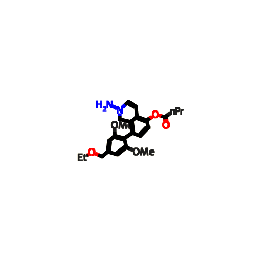 CCCC(=O)Oc1ccc(-c2c(OC)cc(COCC)cc2OC)c2c1C=CN(N)C2